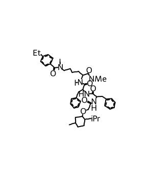 CCc1ccc(C(=O)N(I)CCCCC(C(=O)NC)N(I)C(=O)C(Cc2ccccc2)NC(=O)C(Cc2ccccc2)NC(=O)COC2CC(C)CCC2C(C)C)cc1